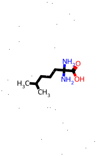 CC(C)CCCC(N)(N)C(=O)O